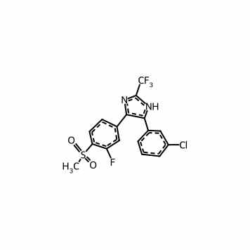 CS(=O)(=O)c1ccc(-c2nc(C(F)(F)F)[nH]c2-c2cccc(Cl)c2)cc1F